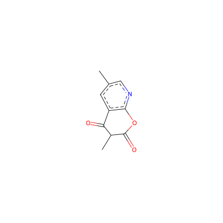 Cc1cnc2c(c1)C(=O)C(C)C(=O)O2